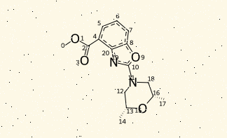 COC(=O)c1cccc2oc(N3C[C@@H](C)O[C@@H](C)C3)nc12